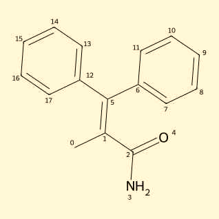 CC(C(N)=O)=C(c1ccccc1)c1ccccc1